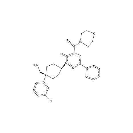 NC[C@]1(c2cccc(Cl)c2)CC[C@H](n2nc(-c3ccccc3)cc(C(=O)N3CCOCC3)c2=O)CC1